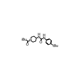 CCC(C)C(=O)N1CCC(NC(=O)Nc2ccc(C(C)(C)C)cc2)CC1